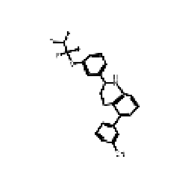 N#Cc1cccc(-c2cccc3c2CCC(c2cccc(OC(F)(F)C(F)F)c2)N3)c1